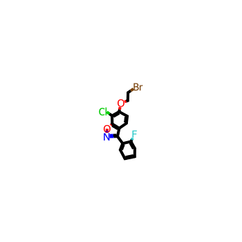 Fc1ccccc1-c1noc2c(Cl)c(OCCBr)ccc12